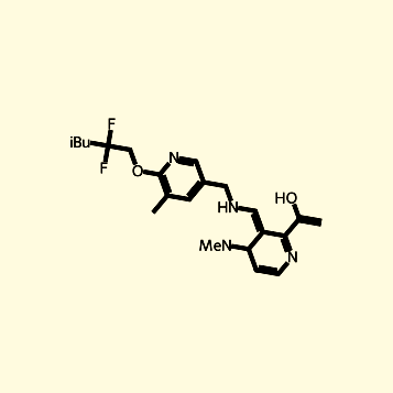 C=C(O)C1=NC=CC(NC)/C1=C\NCc1cnc(OCC(F)(F)C(C)CC)c(C)c1